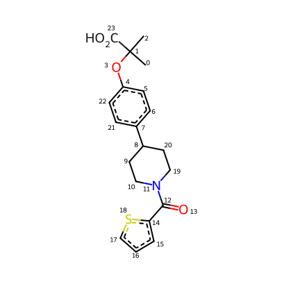 CC(C)(Oc1ccc(C2CCN(C(=O)c3cccs3)CC2)cc1)C(=O)O